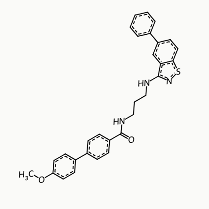 COc1ccc(-c2ccc(C(=O)NCCCNc3nsc4ccc(-c5ccccc5)cc34)cc2)cc1